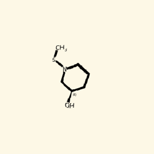 CSN1CCC[C@@H](O)C1